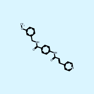 O=C(/C=C/c1ccncc1)Nc1ccc(C(=O)NCc2cccc(OC(F)(F)F)c2)cc1